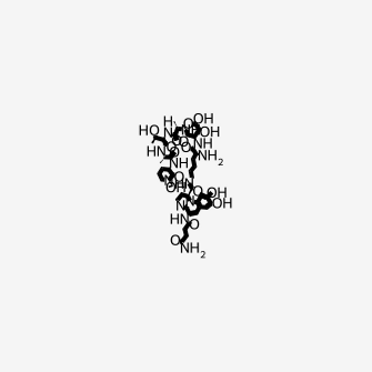 C[C@H](NC(=O)[C@H](NC(=O)[C@H](C)NC(=O)[C@H](NC(=O)[C@@H](N)CCCCNC(=O)[C@@H]1CCN=C2C(NC(=O)CCC(N)=O)=Cc3cc(O)c(O)cc3N21)[C@@H](O)C(=O)O)[C@@H](C)O)C(=O)N[C@@H]1CCCN(O)C1=O